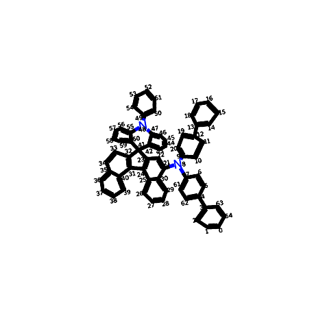 c1ccc(-c2ccc(N(c3ccc(-c4ccccc4)cc3)c3cc4c(c5ccccc35)-c3c(ccc5ccccc35)C43c4ccccc4N(c4ccccc4)c4ccccc43)cc2)cc1